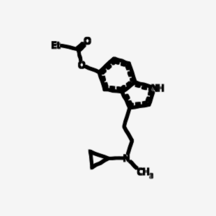 CCC(=O)Oc1ccc2[nH]cc(CCN(C)C3CC3)c2c1